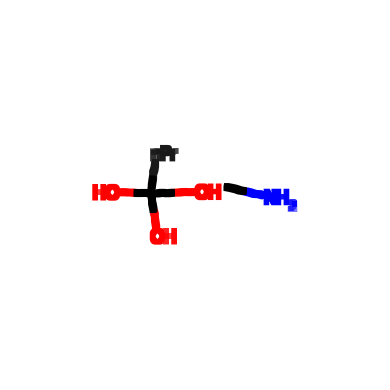 CCCC(O)(O)O.CN